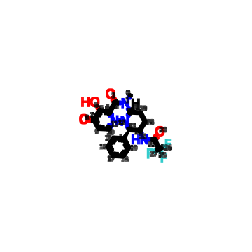 CN1C(=O)c2c(O)c(=O)ccn2N2[C@H](c3ccccc3)C(NC(=O)C(F)(F)F)CC[C@@H]12